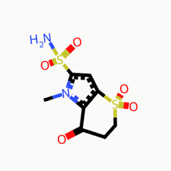 Cn1c(S(N)(=O)=O)cc2c1C(=O)CCS2(=O)=O